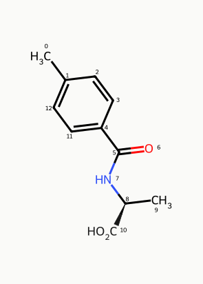 Cc1ccc(C(=O)N[C@@H](C)C(=O)O)cc1